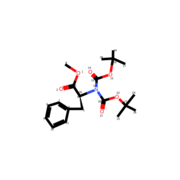 COC(=O)[C@H](Cc1cc[c]cc1)N(C(=O)OC(C)(C)C)C(=O)OC(C)(C)C